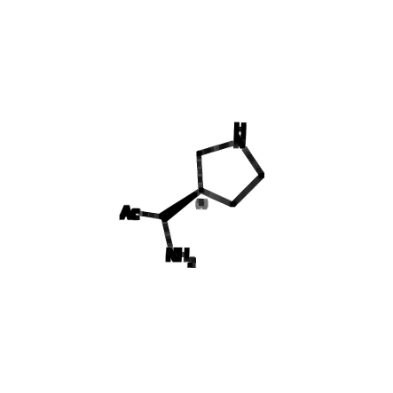 CC(=O)C(N)[C@@H]1CCNC1